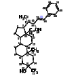 C[C@@H](C1CCC2C3CCC4CC(O)(C(F)(F)F)CCC4(C)C3CCC21C)[C@@H](O)/C=C/c1ccccc1